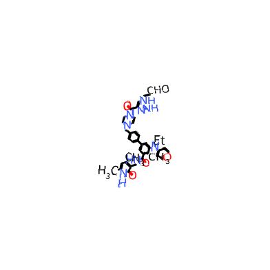 CCN(c1cc(-c2ccc(CN3CCN(C(=O)/C(=C/NCCC=O)N=N)CC3)cc2)cc(C(=O)NCc2c(C)cc(C)[nH]c2=O)c1C)C1CCOCC1